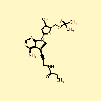 CCC(=O)NCC#Cc1cn([C@H]2CC(O)[C@@H](COC(C)(C)C)O2)c2ncnc(N)c12